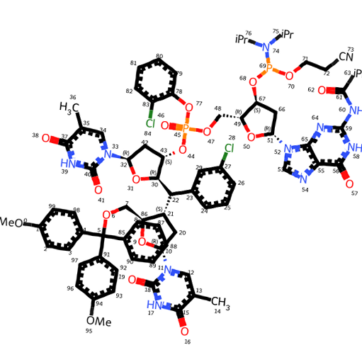 COc1ccc(C(OC[C@@H]2O[C@@H](n3cc(C)c(=O)[nH]c3=O)C[C@H]2C(c2cc[c]c(Cl)c2)[C@H]2O[C@@H](n3cc(C)c(=O)[nH]c3=O)C[C@@H]2OP(=O)(OC[C@H]2O[C@@H](n3cnc4c(=O)[nH]c(NC(=O)C(C)C)nc43)C[C@@H]2OP(OCCC#N)N(C(C)C)C(C)C)Oc2ccccc2Cl)(c2ccccc2)c2ccc(OC)cc2)cc1